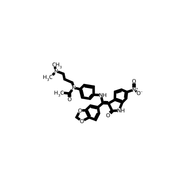 CC(=O)N(CCCN(C)C)c1ccc(NC(=C2C(=O)Nc3cc([N+](=O)[O-])ccc32)c2ccc3c(c2)OCO3)cc1